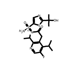 CC(C)c1ncc(F)c(C(C)C)c1CC(=O)N=[S@](N)(=O)c1cnc(C(C)(C)O)s1